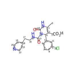 CC1=C(C(=O)O)C(c2cccc(Cl)c2)N(C(=O)NCCc2ccncc2)C(=O)N1